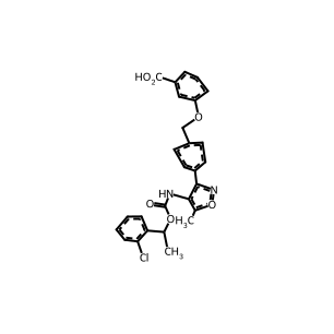 Cc1onc(-c2ccc(COc3cccc(C(=O)O)c3)cc2)c1NC(=O)OC(C)c1ccccc1Cl